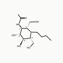 CCCCN1[C@H](CO)[C@@H](O)[C@H](O)[C@@H](NC(C)=O)[C@@H]1CO